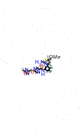 COC[C@@]1(C)C[C@@](C)(c2cc(NC(=O)c3cnc(OCc4noc(C)n4)cn3)cc(F)c2F)N=C(N)S1